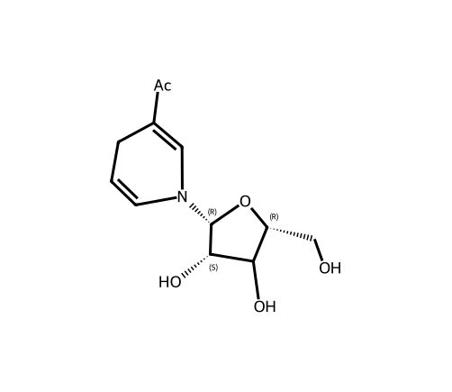 CC(=O)C1=CN([C@@H]2O[C@H](CO)C(O)[C@@H]2O)C=CC1